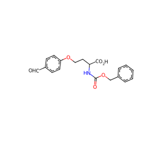 O=Cc1ccc(OCCC(NC(=O)OCc2ccccc2)C(=O)O)cc1